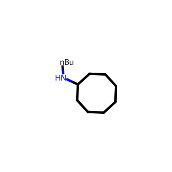 CCCCNC1CCCCCCC1